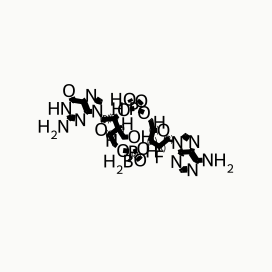 B[P@@]1(=O)OC[C@H]2O[C@@H](n3cnc4c(=O)[nH]c(N)nc43)[C@H](OP(=O)(O)OC[C@H]3O[C@@H](n4cnc5c(N)ncnc54)[C@H](F)[C@@H]3O1)[C@@H]2CO